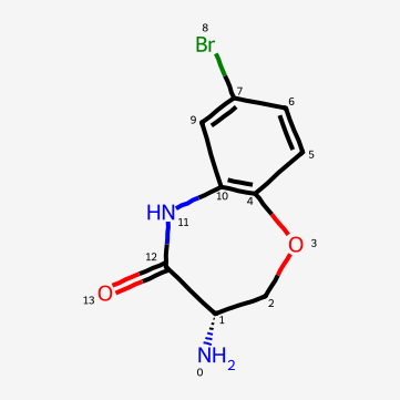 N[C@H]1COc2ccc(Br)cc2NC1=O